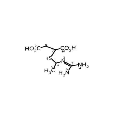 CC(N=C(N)N)SC(CC(=O)O)C(=O)O